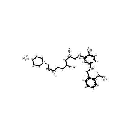 CCCC(CC[C@H](C)NC[C@H]1CC[C@@H](N)CC1)C[C@H](CC)CNc1nc(NCc2ccccc2OC(F)(F)F)ncc1C#N